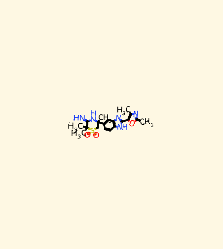 Cc1nc(C)c(-c2nc3cc(C4(C)CS(=O)(=O)C(C)(C)C(=N)N4)ccc3[nH]2)o1